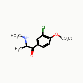 CCOC(=O)Oc1ccc(C(=O)C(C)NC(=O)O)cc1Cl